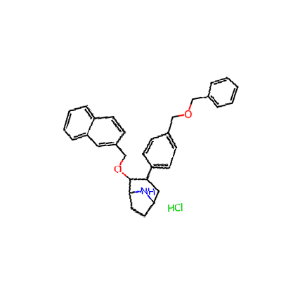 Cl.c1ccc(COCc2ccc(C3CC4CCC(N4)C3OCc3ccc4ccccc4c3)cc2)cc1